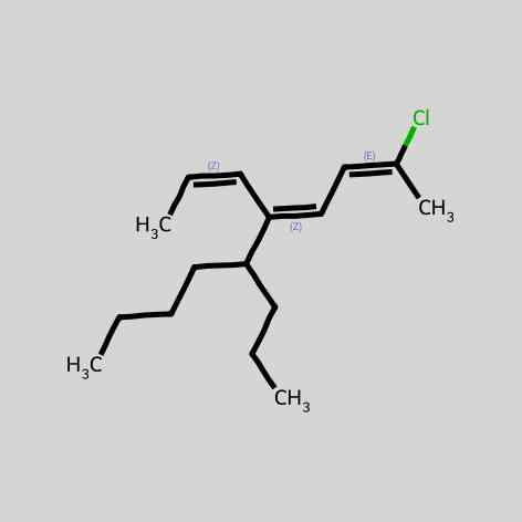 C\C=C/C(=C\C=C(/C)Cl)C(CCC)CCCC